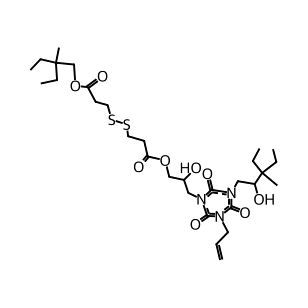 C=CCn1c(=O)n(CC(O)COC(=O)CCSSCCC(=O)OCC(C)(CC)CC)c(=O)n(CC(O)C(C)(CC)CC)c1=O